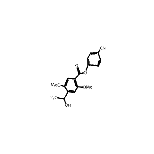 COc1cc(C(C)O)c(OC)cc1C(=O)Oc1ccc(C#N)cc1